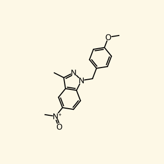 COc1ccc(Cn2nc(C)c3cc([N+](C)=O)ccc32)cc1